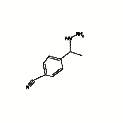 CC(NN)c1ccc(C#N)cc1